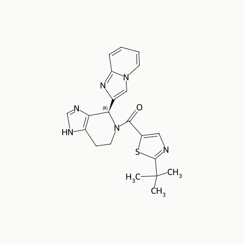 CC(C)(C)c1ncc(C(=O)N2CCc3[nH]cnc3[C@H]2c2cn3ccccc3n2)s1